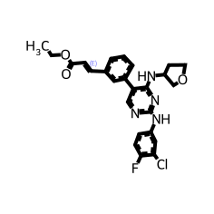 CCOC(=O)/C=C/c1cccc(-c2cnc(Nc3ccc(F)c(Cl)c3)nc2NC2CCOC2)c1